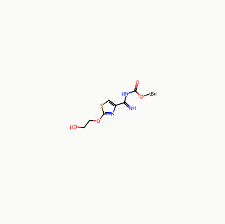 CC(C)(C)OC(=O)NC(=N)c1csc(OCCO)n1